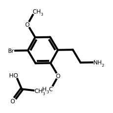 CC(=O)O.COc1cc(CCN)c(OC)cc1Br